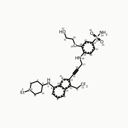 CCN1CCC(Nc2cccc3c(CC(F)(F)F)c(C#CCNc4ccc(S(N)(=O)=O)cc4OCCO)sc23)CC1